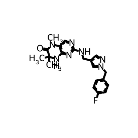 CN1C(=O)C(C)(C)Nc2nc(NCc3cnn(Cc4ccc(F)cc4)c3)ncc21